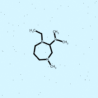 CCN1CCCN(C)CC1N(C)C